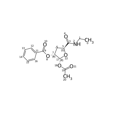 CCNC(=O)[C@@H]1[CH][C@@H](OC(=O)c2ccccc2)[C@@H](OC(C)=O)O1